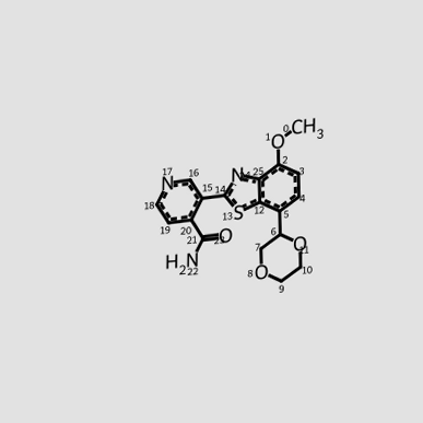 COc1ccc(C2COCCO2)c2sc(-c3cnccc3C(N)=O)nc12